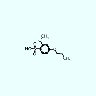 CCCOc1ccc(S(=O)(=O)O)c(OC)c1